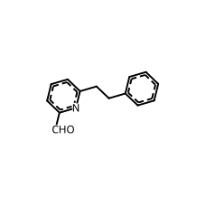 O=Cc1cccc(CCc2ccccc2)n1